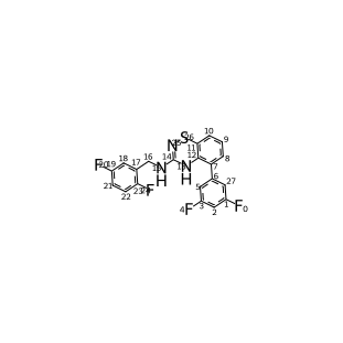 Fc1cc(F)cc(-c2cccc3c2NC(NCc2cc(F)ccc2F)=NS3)c1